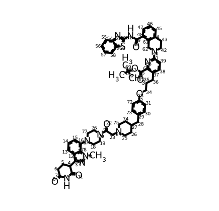 Cn1nc(C2CCC(=O)NC2=O)c2cccc(N3CCN(C(=O)CN4CCC(Cc5ccc(OCCCc6ccc(N7CCc8cccc(C(=O)Nc9nc%10ccccc%10s9)c8C7)nc6C(=O)OC(C)(C)C)cc5)CC4)CC3)c21